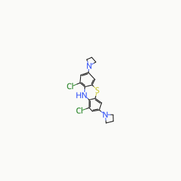 Clc1cc(N2CCC2)cc2c1Nc1c(Cl)cc(N3CCC3)cc1S2